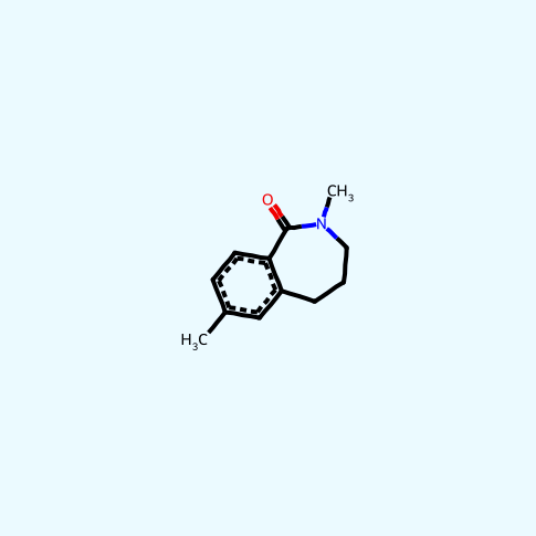 Cc1ccc2c(c1)CCCN(C)C2=O